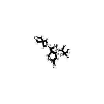 CC(n1nc(N2CC3(COC3)C2)c2cnc(Cl)cc21)C(F)(F)F